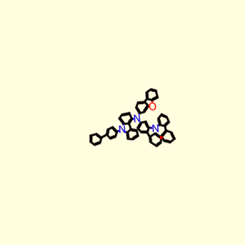 c1ccc(-c2ccc(-n3c4ccccc4c4c(N(c5ccc6c(c5)oc5ccccc56)c5ccc6c7ccccc7n(-c7ccccc7-c7ccccc7)c6c5)cccc43)cc2)cc1